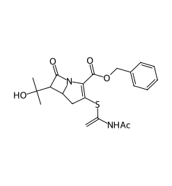 C=C(NC(C)=O)SC1=C(C(=O)OCc2ccccc2)N2C(=O)C(C(C)(C)O)C2C1